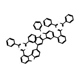 c1ccc(-c2nc(-c3ccccc3)nc(-c3ccccc3-c3ccc4c(c3)c3cc(-c5ccc6sc7cccc(-c8nc(-c9ccccc9)nc(-c9ccccc9)n8)c7c6c5)ccc3n4-c3ccccc3)n2)cc1